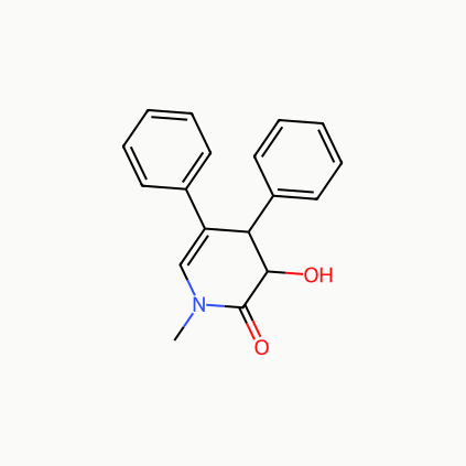 CN1C=C(c2ccccc2)C(c2ccccc2)C(O)C1=O